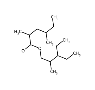 CCC(C)CC(C)C([O])OCC(C)C(CC)CC